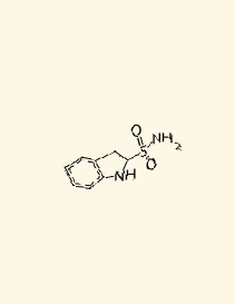 NS(=O)(=O)C1Cc2ccccc2N1